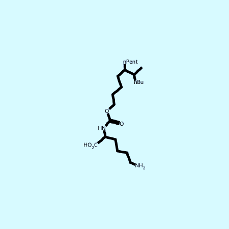 CCCCCC(CCCCOC(=O)NC(CCCCN)C(=O)O)C(C)CCCC